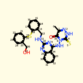 Cc1n[nH]c(=S)n(Nc2nc(NCc3ccccc3Sc3ccccc3CO)nc3ccccc23)c1=O